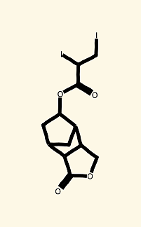 O=C(OC1CC2CC1C1COC(=O)C21)C(I)CI